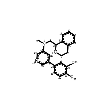 CN(CC1OCCc2ccccc21)c1cncc(-c2ccc(F)c(F)c2)c1